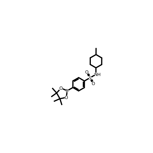 CC1CCC(NS(=O)(=O)c2ccc(B3OC(C)(C)C(C)(C)O3)cc2)CC1